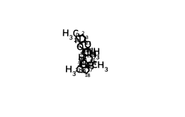 Cc1cccc(OC2=C[C@@]3(C)[C@@H](C[C@H](C)[C@H]4[C@@H]5CCC[C@@]5(C)CC[C@@H]43)NC2=O)n1